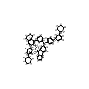 CC1(C)c2ccccc2-c2ccc(N(c3ccc(-c4cccc(C5CCCCC5)c4)cc3)c3cccc(-c4cc(-c5ccc(C6CCCCC6)cc5)cc5c4CCCC5)c3)cc21